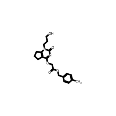 Cc1ccc(COC(=O)COc2nc(=O)n(CCCO)c3c2CCC3)cc1